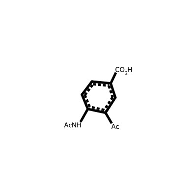 CC(=O)Nc1ccc(C(=O)O)cc1C(C)=O